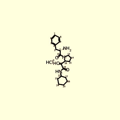 Cl.N[C@@H](Cc1ccccc1)C(=O)N1CCCC1C(O)C(=O)NC1CCCCC1